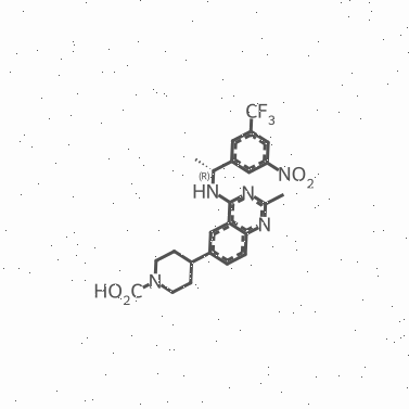 Cc1nc(N[C@H](C)c2cc([N+](=O)[O-])cc(C(F)(F)F)c2)c2cc(C3CCN(C(=O)O)CC3)ccc2n1